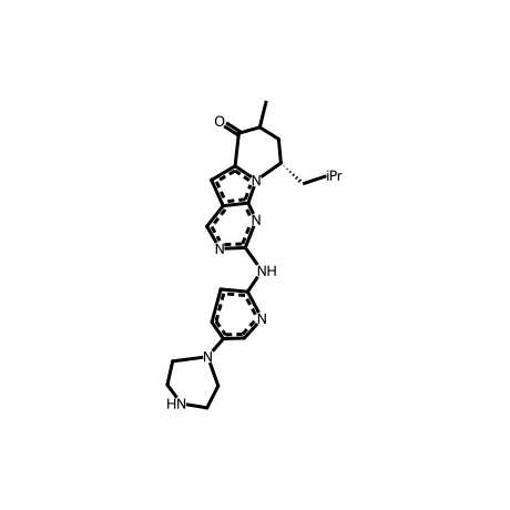 CC(C)C[C@H]1CC(C)C(=O)c2cc3cnc(Nc4ccc(N5CCNCC5)cn4)nc3n21